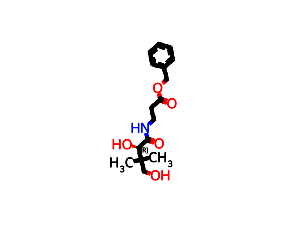 CC(C)(CO)[C@@H](O)C(=O)NCCC(=O)OCc1ccccc1